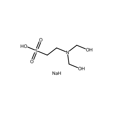 O=S(=O)(O)CCN(CO)CO.[NaH]